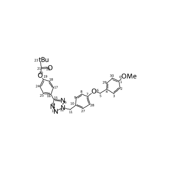 COc1ccc(COc2ccc(Cn3nnc(-c4ccc(OC(=O)C(C)(C)C)cc4)n3)cc2)cc1